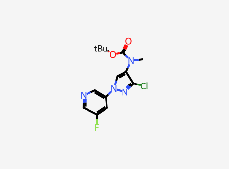 CN(C(=O)OC(C)(C)C)c1cn(-c2cncc(F)c2)nc1Cl